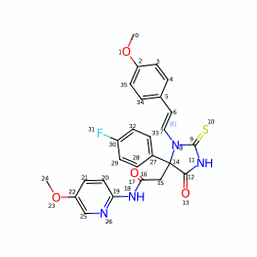 COc1ccc(/C=C/N2C(=S)NC(=O)C2(CC(=O)Nc2ccc(OC)cn2)c2ccc(F)cc2)cc1